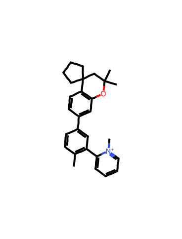 Cc1ccc(-c2ccc3c(c2)OC(C)(C)CC32CCCC2)cc1-c1cccc[n+]1C